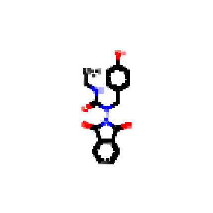 CCOC(=O)CNC(=O)N(Cc1ccc(O)cc1)N1C(=O)c2ccccc2C1=O